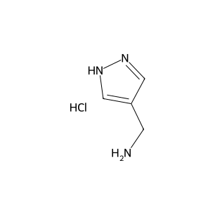 Cl.NCc1cn[nH]c1